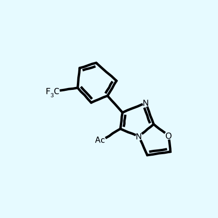 CC(=O)c1c(-c2cccc(C(F)(F)F)c2)nc2occn12